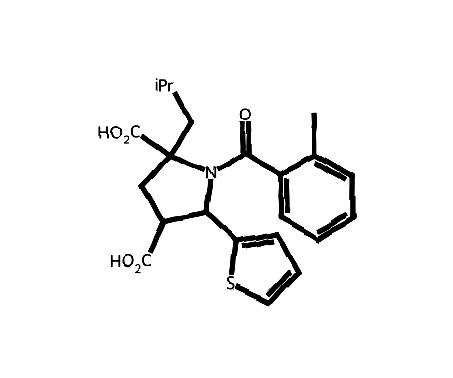 Cc1ccccc1C(=O)N1C(c2cccs2)C(C(=O)O)CC1(CC(C)C)C(=O)O